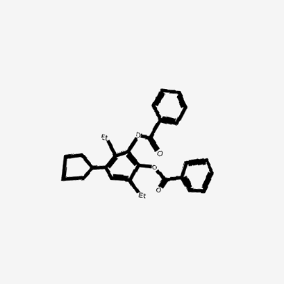 CCc1cc(C2CCCC2)c(CC)c(OC(=O)c2ccccc2)c1OC(=O)c1ccccc1